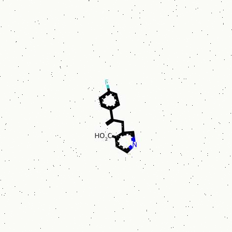 C=C(Cc1cnccc1C(=O)O)c1ccc(F)cc1